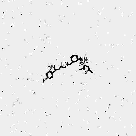 Cc1cc(S(=O)(=O)Nc2cccc(CNCCCc3noc4cc(F)ccc34)c2)c(C)s1